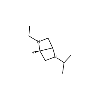 CCN1CC2[C@@H]1CN2C(C)C